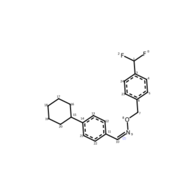 FC(F)c1ccc(CO/N=[C]\c2ccc(C3CCCCC3)cc2)cc1